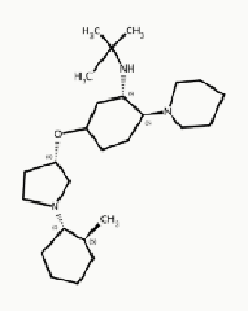 C[C@H]1CCCC[C@@H]1N1CC[C@H](OC2CC[C@H](N3CCCCC3)[C@@H](NC(C)(C)C)C2)C1